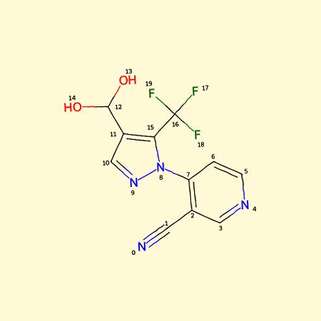 N#Cc1cnccc1-n1ncc(C(O)O)c1C(F)(F)F